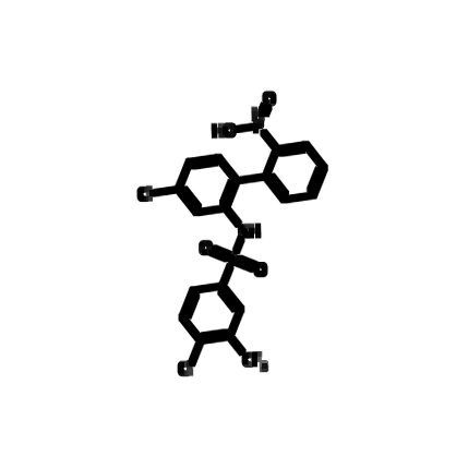 O=[PH](O)c1ccccc1-c1ccc(Cl)cc1NS(=O)(=O)c1ccc(Cl)c(C(F)(F)F)c1